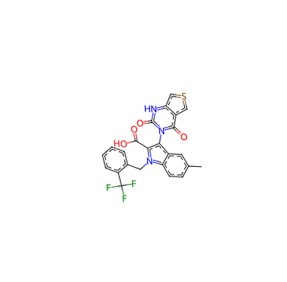 Cc1ccc2c(c1)c(-n1c(=O)[nH]c3cscc3c1=O)c(C(=O)O)n2Cc1ccccc1C(F)(F)F